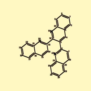 [c]1cc(-c2cc3ccccc3nc2-c2ccc3ccccc3n2)nc2ccccc12